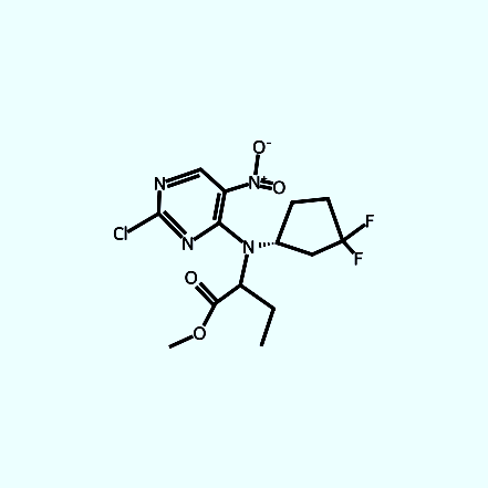 CCC(C(=O)OC)N(c1nc(Cl)ncc1[N+](=O)[O-])[C@@H]1CCC(F)(F)C1